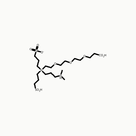 C[SiH](C)CCC[N+](CCCS(=O)(=O)[O-])(CCCS(=O)(=O)O)CCOCCOCCOCCC(=O)O